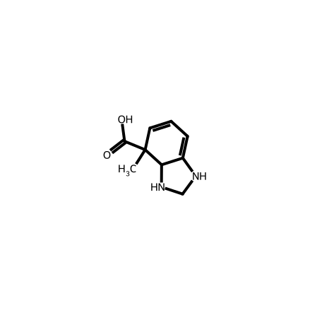 CC1(C(=O)O)C=CC=C2NCNC21